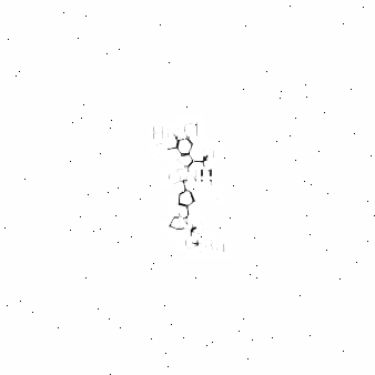 CC(C)(C)OC(=O)[C@H]1CCCN1Cc1ccc(C(=O)Nc2sc3c(Cl)c(O)c(Cl)cc3c2C(N)=O)cc1